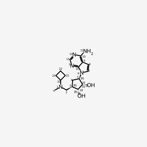 CN(C[C@H]1C[C@@H](n2ccc3c(N)ncnc32)[C@H](O)[C@@H]1O)C1CCC1